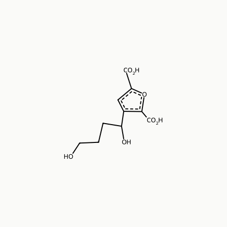 O=C(O)c1cc(C(O)CCCO)c(C(=O)O)o1